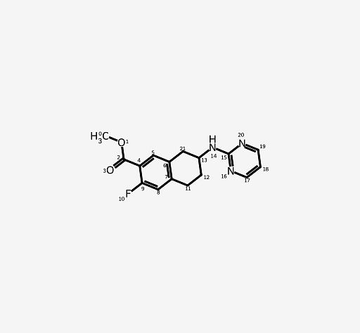 COC(=O)c1cc2c(cc1F)CCC(Nc1ncccn1)C2